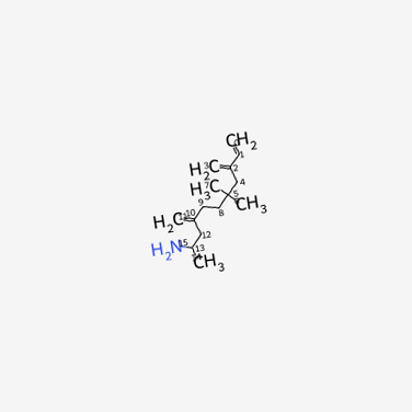 C=CC(=C)CC(C)(C)CCC(=C)CC(C)N